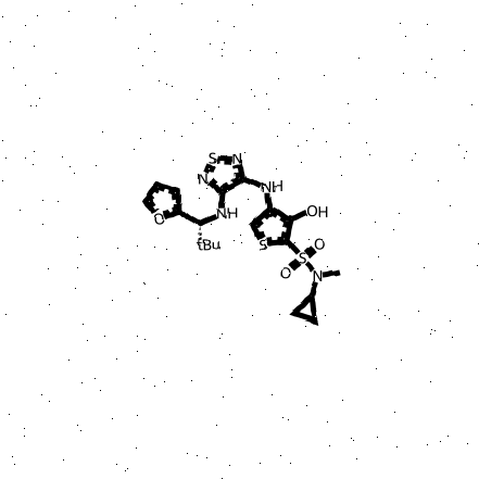 CN(C1CC1)S(=O)(=O)c1scc(Nc2nsnc2N[C@@H](c2ccco2)C(C)(C)C)c1O